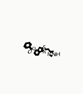 O=C(Oc1cccc2c1Cc1sc(Cc3c[nH]cn3)nc1-2)c1ccccc1